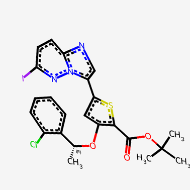 C[C@@H](Oc1cc(-c2cnc3ccc(I)nn23)sc1C(=O)OC(C)(C)C)c1ccccc1Cl